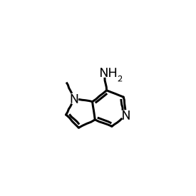 Cn1ccc2cncc(N)c21